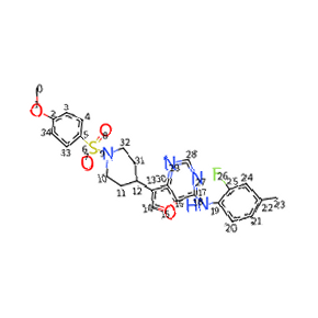 COc1ccc(S(=O)(=O)N2CCC(c3coc4c(Nc5ccc(C)cc5F)ncnc34)CC2)cc1